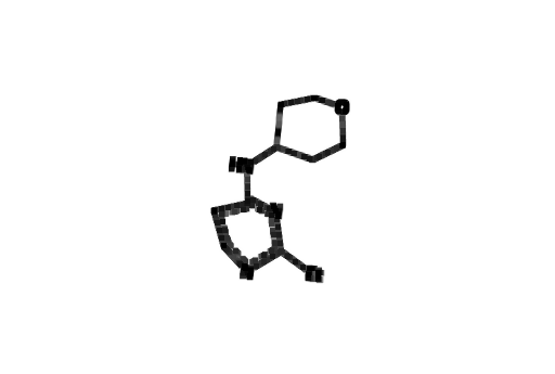 CCc1nccc(NC2CCOCC2)n1